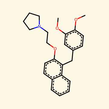 COc1ccc(Cc2c(OCCN3CCCC3)ccc3ccccc23)cc1OC